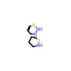 C1=CSNNC1.C1CCSNC1